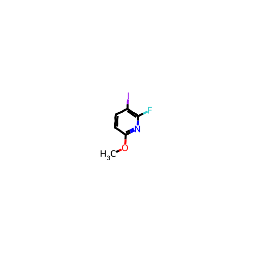 COc1ccc(I)c(F)n1